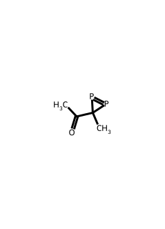 CC(=O)C1(C)P=P1